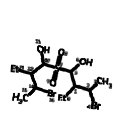 CCC(C(C)Br)C(O)S(=O)(=O)C(O)C(CC)C(C)Br